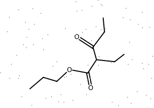 CCCOC(=O)C(CC)C(=O)CC